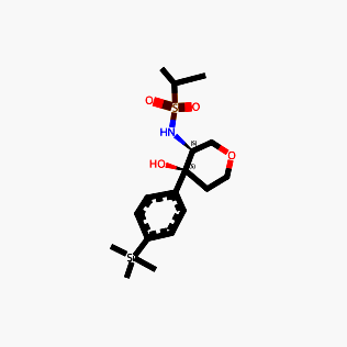 CC(C)S(=O)(=O)N[C@H]1COCC[C@]1(O)c1ccc([Si](C)(C)C)cc1